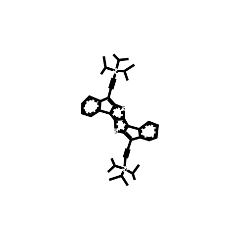 CC(C)[Si](C#CC1=c2sc3c4c(sc3c2-c2ccccc21)=C(C#C[Si](C(C)C)(C(C)C)C(C)C)c1ccccc1-4)(C(C)C)C(C)C